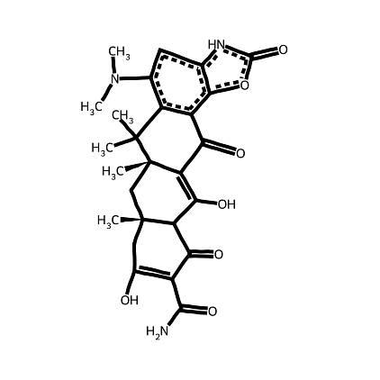 CN(C)c1cc2[nH]c(=O)oc2c2c1C(C)(C)[C@@]1(C)C[C@@]3(C)CC(O)=C(C(N)=O)C(=O)C3C(O)=C1C2=O